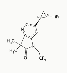 CC(C)[C@H]1C[C@@H]1c1cnc2c(c1)N(CC(F)(F)F)C(=O)C2(C)C